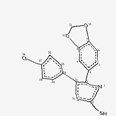 Sc1nc(-c2ccc3c(c2)OCO3)c(-c2ccc(Cl)cc2)s1